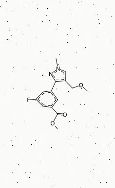 COCc1cn(C)nc1-c1cc(F)cc(C(=O)OC)c1